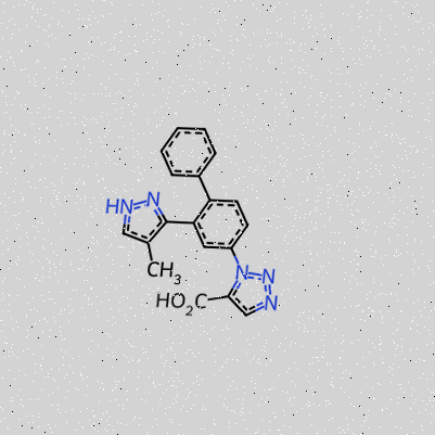 Cc1c[nH]nc1-c1cc(-n2nncc2C(=O)O)ccc1-c1ccccc1